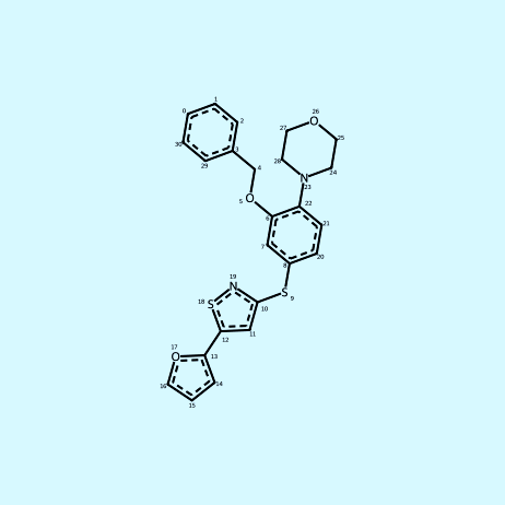 c1ccc(COc2cc(Sc3cc(-c4ccco4)sn3)ccc2N2CCOCC2)cc1